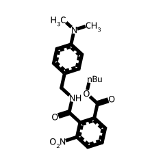 CCCCOC(=O)c1cccc([N+](=O)[O-])c1C(=O)NCc1ccc(N(C)C)cc1